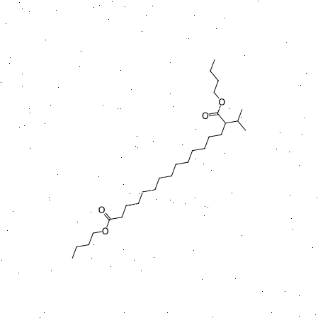 CCCCOC(=O)CCCCCCCCCCCCCC(C(=O)OCCCC)C(C)C